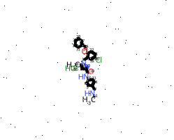 CCNCc1ccc(NC(=O)c2cc(C)n(Cc3cc(Cl)ccc3OCc3ccccc3)n2)cc1.Cl